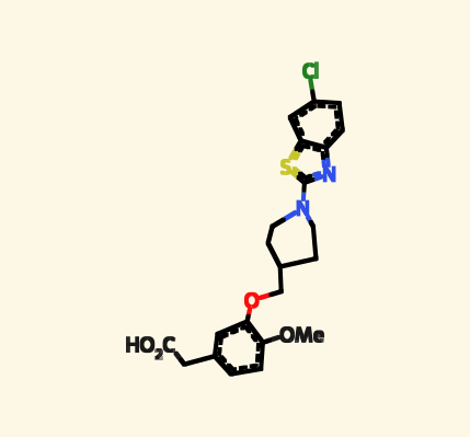 COc1ccc(CC(=O)O)cc1OCC1CCN(c2nc3ccc(Cl)cc3s2)CC1